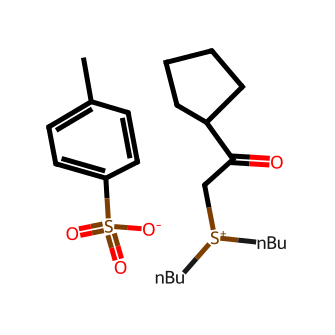 CCCC[S+](CCCC)CC(=O)C1CCCC1.Cc1ccc(S(=O)(=O)[O-])cc1